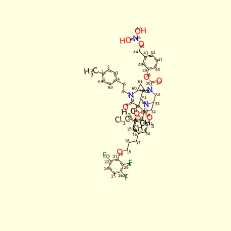 Cc1ccc(CCN(C(=O)C2(C)C(c3ccc(CCCOc4c(F)ccc(F)c4F)cc3)CC3CN(C(=O)Oc4cccc(CON(O)O)c4)CC2N3C(=O)OC(C)(C)C(Cl)(Cl)Cl)C2CC2)cc1